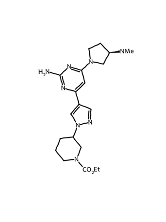 CCOC(=O)N1CCCC(n2cc(-c3cc(N4CC[C@@H](NC)C4)nc(N)n3)cn2)C1